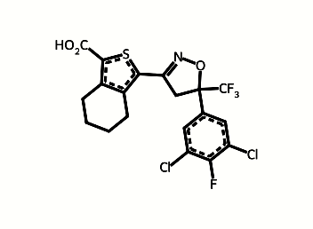 O=C(O)c1sc(C2=NOC(c3cc(Cl)c(F)c(Cl)c3)(C(F)(F)F)C2)c2c1CCCC2